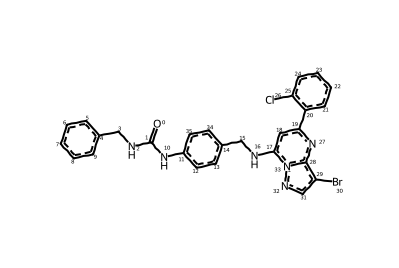 O=C(NCc1ccccc1)Nc1ccc(CNc2cc(-c3ccccc3Cl)nc3c(Br)cnn23)cc1